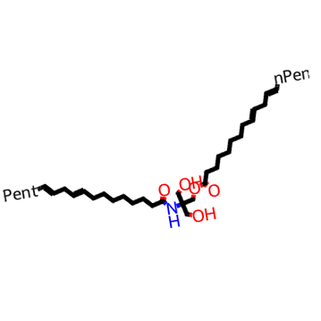 CCCCC/C=C/C/C=C/CCCCCCCC(=O)NC(CO)(CO)COC(=O)CCCCCCC/C=C/C/C=C/CCCCC